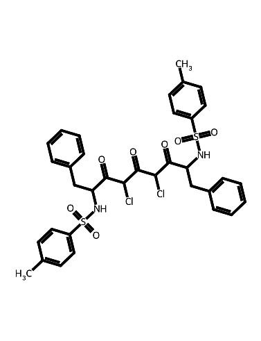 Cc1ccc(S(=O)(=O)NC(Cc2ccccc2)C(=O)C(Cl)C(=O)C(Cl)C(=O)C(Cc2ccccc2)NS(=O)(=O)c2ccc(C)cc2)cc1